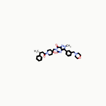 C[C@H](CC(=O)N1CCC(O)(Cn2cnc3c(-c4cccc(CN5CCOCC5)c4)n(C)nc3c2=O)CC1)c1ccccc1